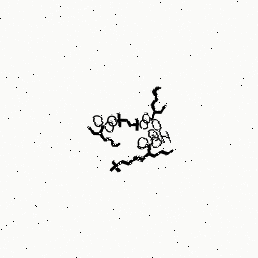 CCCCC(CC)C(=O)OOC(C)(C)CCC(C)(C)OOC(=O)C(CC)CCCC.CCCCC(CCCCC(C)(C)C)C(=O)OO